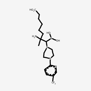 CC(N)(CCCCCC(=O)O)C(B(O)O)N1CCN(c2ccc(C(F)(F)F)cn2)CC1